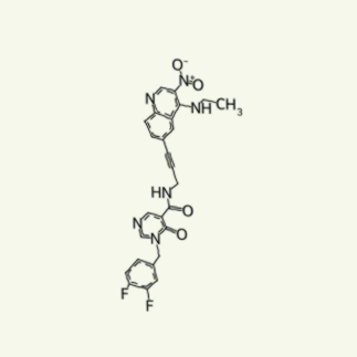 CCNc1c([N+](=O)[O-])cnc2ccc(C#CCNC(=O)c3cncn(Cc4ccc(F)c(F)c4)c3=O)cc12